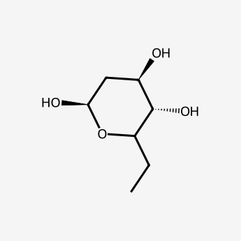 CCC1O[C@@H](O)C[C@@H](O)[C@@H]1O